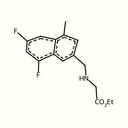 [CH2]c1cc(CNCC(=O)OCC)cc2c(F)cc(F)cc12